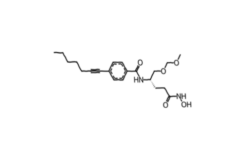 CCCCCC#Cc1ccc(C(=O)N[C@@H](CCC(=O)NO)COCOC)cc1